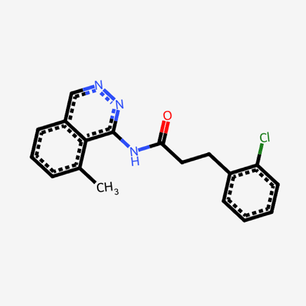 Cc1cccc2cnnc(NC(=O)CCc3ccccc3Cl)c12